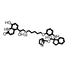 O=C(O[C@H]1CN2CCC1CC2)C1(Nc2cccc(OCCCCCNC[C@H](O)c3ccc(O)c4[nH]c(=O)ccc34)c2)CCc2ccccc21